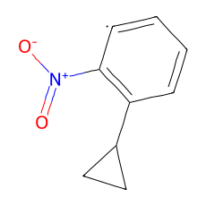 O=[N+]([O-])c1[c]cccc1C1CC1